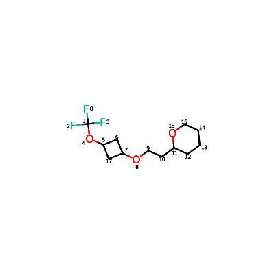 FC(F)(F)OC1CC(OCCC2CCCCO2)C1